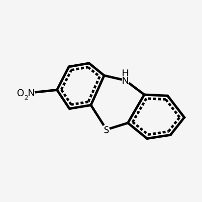 O=[N+]([O-])c1ccc2c(c1)Sc1ccccc1N2